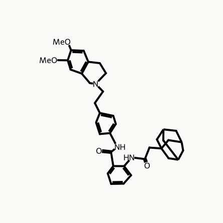 COc1cc2c(cc1OC)CN(CCc1ccc(NC(=O)c3ccccc3NC(=O)CC34CC5CC(CC(C5)C3)C4)cc1)CC2